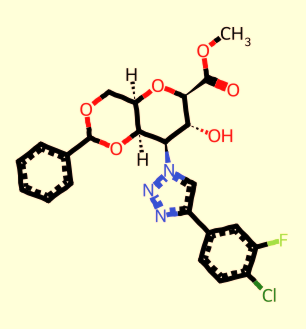 COC(=O)[C@@H]1O[C@@H]2COC(c3ccccc3)O[C@@H]2[C@H](n2cc(-c3ccc(Cl)c(F)c3)nn2)[C@H]1O